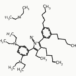 CCCCCC1=C(c2cc(CCCCC)cc(CCCCC)c2)[N+](=[N-])C(c2cc(N(CC)CC)cc(N(CC)CC)c2)=C1CC.C[CH2][Ni][CH2]C